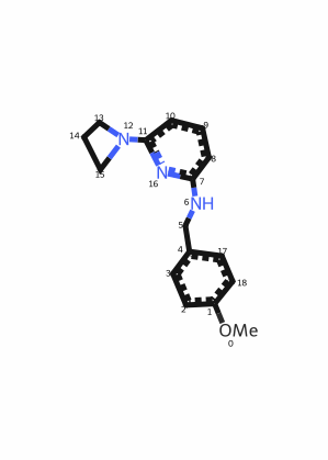 COc1ccc(CNc2cccc(N3CCC3)n2)cc1